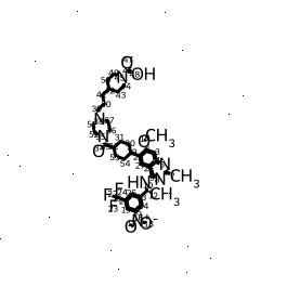 COc1cc2nc(C)nc(N[C@H](C)c3cc([N+](=O)[O-])cc(C(F)(F)F)c3)c2cc1C1CCC(C(=O)N2CCN(CCCC3CCN(C(=O)O)CC3)CC2)CC1